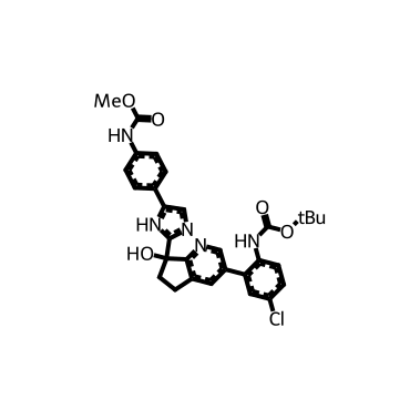 COC(=O)Nc1ccc(-c2cnc(C3(O)CCc4cc(-c5cc(Cl)ccc5NC(=O)OC(C)(C)C)cnc43)[nH]2)cc1